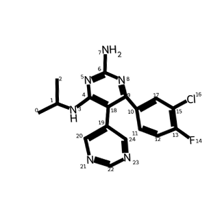 CC(C)Nc1nc(N)nc(-c2ccc(F)c(Cl)c2)c1-c1cncnc1